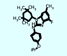 Cc1cc(F)c2nc(Nc3ccc(OC(C)C)cc3)n(C3CC(C)(C)CC(C)(C)C3)c2c1